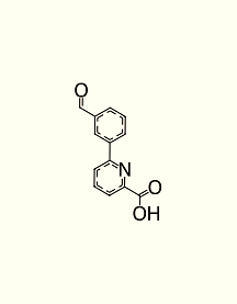 O=Cc1cccc(-c2cccc(C(=O)O)n2)c1